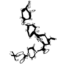 C=Cc1cc(C(=O)N2CCN(C(=O)OC(C)(C)C)CC2)nc(-c2ccc(Oc3ccc(F)cc3)cc2)c1